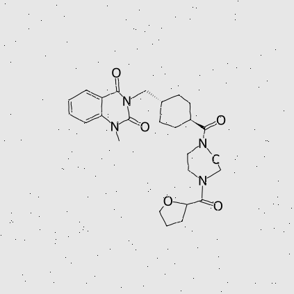 Cn1c(=O)n(C[C@H]2CC[C@H](C(=O)N3CCN(C(=O)C4CCCO4)CC3)CC2)c(=O)c2ccccc21